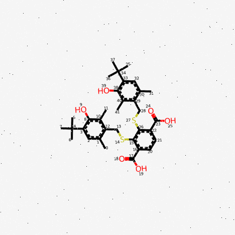 Cc1cc(C(C)(C)C)c(O)c(C)c1CSc1c(C(=O)O)ccc(C(=O)O)c1SCc1c(C)cc(C(C)(C)C)c(O)c1C